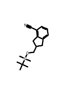 CC(C)(C)[Si](C)(C)OCC1Cc2cccc(C#N)c2C1